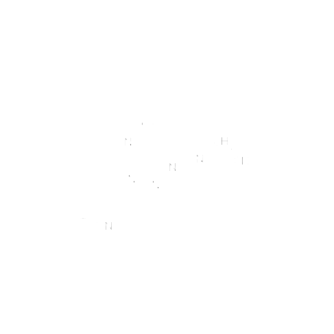 C=C(CC)N1CCN(c2nc(CC[C@@H]3CCCN3C)nc3c2CCN(C2=CCCc4cccc(C)c42)C3)CC1